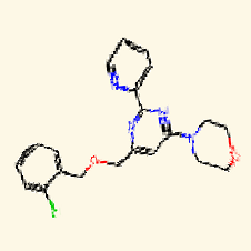 Clc1ccccc1COCc1cc(N2CCOCC2)nc(-c2ccccn2)n1